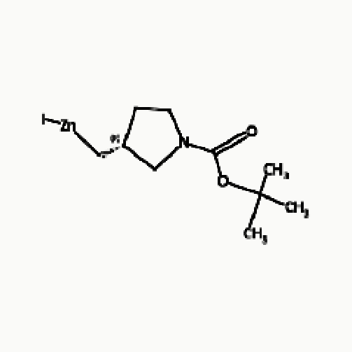 CC(C)(C)OC(=O)N1CC[C@@H]([CH2][Zn][I])C1